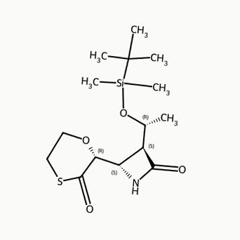 C[C@@H](O[Si](C)(C)C(C)(C)C)[C@H]1C(=O)N[C@@H]1[C@H]1OCCSC1=O